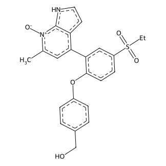 CCS(=O)(=O)c1ccc(Oc2ccc(CO)cc2)c(-c2cc(C)[n+]([O-])c3[nH]ccc23)c1